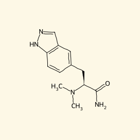 CN(C)[C@@H](Cc1ccc2[nH]ncc2c1)C(N)=O